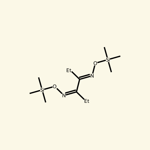 CCC(=NO[Si](C)(C)C)C(CC)=NO[Si](C)(C)C